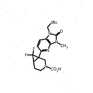 Cn1c(=O)n(CC(C)(C)C)c2ccc(C34CN(C(=O)O)CCC3C4(F)F)nc21